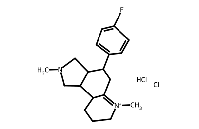 CN1CC2C3CCC[N+](C)=C3CC(c3ccc(F)cc3)C2C1.Cl.[Cl-]